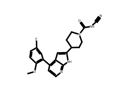 COc1ccc(F)cc1-c1ccnc2[nH]c(C3CCN(C(=O)NC#N)CC3)cc12